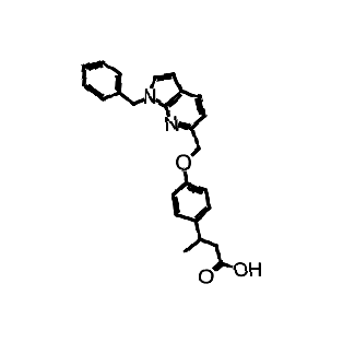 CC(CC(=O)O)c1ccc(OCc2ccc3ccn(Cc4ccccc4)c3n2)cc1